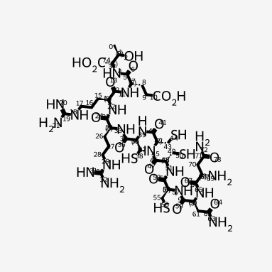 C[C@@H](O)[C@H](NC(=O)[C@H](CCC(=O)O)NC(=O)[C@H](CCCNC(=N)N)NC(=O)[C@H](CCCNC(=N)N)NC(=O)[C@H](CS)NC(=O)[C@H](CS)NC(=O)[C@H](CS)NC(=O)[C@H](CS)NC(=O)[C@H](CC(N)=O)NC(=O)[C@@H](N)CC(N)=O)C(=O)O